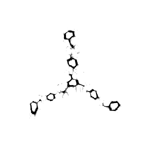 O=C(Nc1ccc(OC(=O)c2ccccc2)cc1)c1cc(C(=O)Nc2ccc(OC(=O)c3ccccc3)cc2)cc(C(=O)Nc2ccc(OC(=O)c3ccccc3)cc2)c1